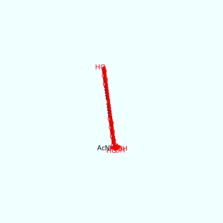 CC(=O)NC1[C@H](OCCOCCOCCOCCOCCOCCOCCCCCCCCCCSSCCCCCCCCCCCOCCOCCOCCOCCO)OC(CO)[C@@H](O)[C@@H]1O